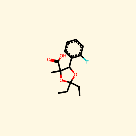 CCC1(CC)OC(c2ccccc2F)C(C)(C(=O)O)O1